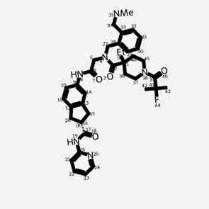 CCC1(C(=O)N(CC(=O)Nc2ccc3c(c2)C[C@H](C(=O)Nc2ccccn2)C3)Cc2ccccc2CNC)CCN(C(=O)C(C)(C)F)CC1